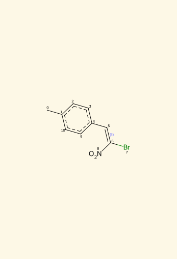 Cc1ccc(/C=C(/Br)[N+](=O)[O-])cc1